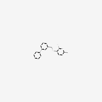 Cc1ccc(NCc2cccc(-c3ccccc3)c2)c(N)n1